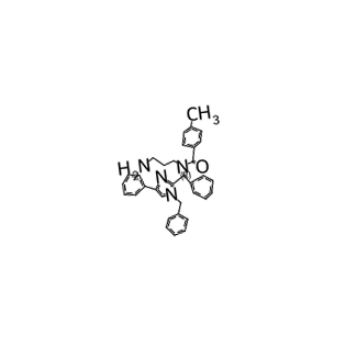 Cc1ccc(C(=O)N(CCCN)[C@H](c2ccccc2)c2nc(-c3ccccc3)cn2Cc2ccccc2)cc1